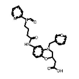 O=CN(CCCC(=O)Nc1ccc2c(c1)N(Cc1ccccc1)CC(CC(=O)O)O2)c1ccccn1